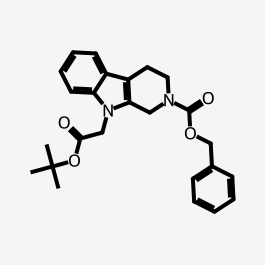 CC(C)(C)OC(=O)Cn1c2c(c3ccccc31)CCN(C(=O)OCc1ccccc1)C2